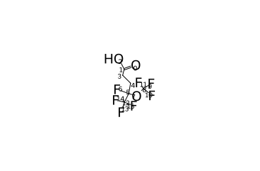 O=C(O)CCC(F)(OC(F)(F)F)C(F)(F)F